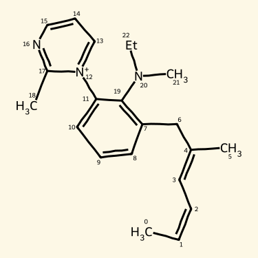 C/C=C\C=C(C)Cc1cccc(-[n+]2cccnc2C)c1N(C)CC